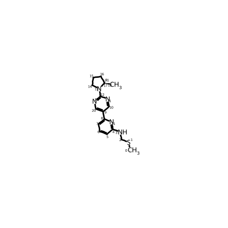 CSCNc1cccc(-c2cnc(N3CCC[C@H]3C)nc2)n1